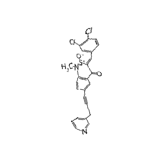 CN1c2ccc(C#CCc3cccnc3)cc2C(=O)/C(=C/c2ccc(Cl)c(Cl)c2)[S+]1[O-]